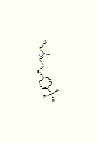 C/C(C=O)=C\COc1ccc(C(F)(F)F)cc1